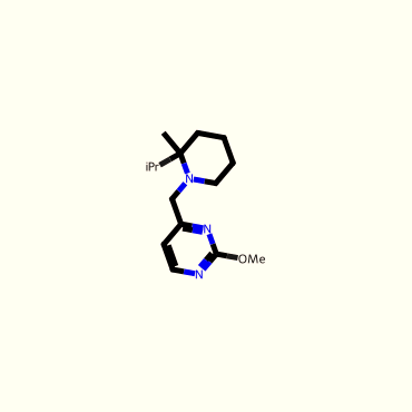 COc1nccc(CN2CCCCC2(C)C(C)C)n1